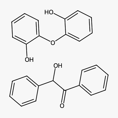 O=C(c1ccccc1)C(O)c1ccccc1.Oc1ccccc1Oc1ccccc1O